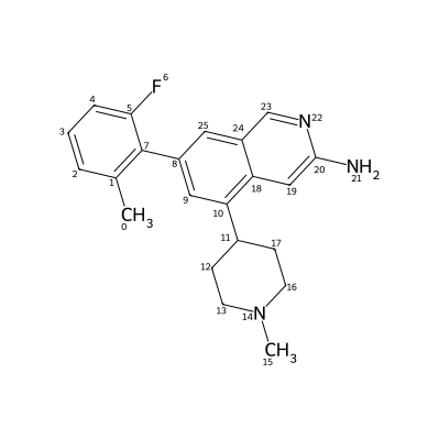 Cc1cccc(F)c1-c1cc(C2CCN(C)CC2)c2cc(N)ncc2c1